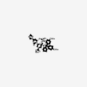 COc1ccc(C(OC[C@]2(CO[Si](C(C)C)(C(C)C)C(C)C)CN(C(=O)OC(C)(C)C)C[C@H](n3ccc(-n4cncn4)nc3=O)O2)(c2ccccc2)c2ccc(OC)cc2)cc1